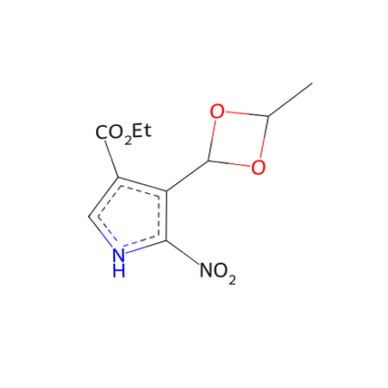 CCOC(=O)c1c[nH]c([N+](=O)[O-])c1C1OC(C)O1